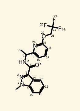 CC(NC(=O)c1nn(C)c2ccccc12)c1cccc(OCC(F)(F)F)n1